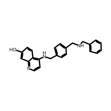 Oc1ccc2c(NCc3ccc(CNCc4ccccc4)cc3)ccnc2c1